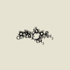 Cc1c(C(=O)N[C@H]2CCC[C@H](C)C(=O)Nc3cc(C(N)=O)ccc3-c3ccnc2c3)cnn1-c1cccc(Cl)c1F